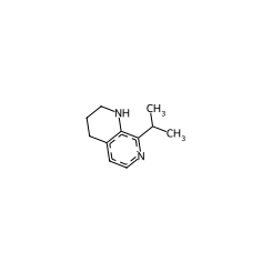 CC(C)c1nccc2c1NCCC2